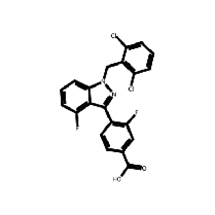 O=C(O)c1ccc(-c2nn(Cc3c(Cl)cccc3Cl)c3cccc(F)c23)c(F)c1